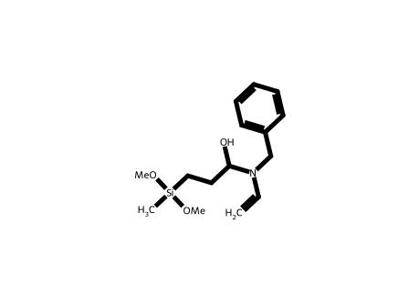 C=CN(Cc1ccccc1)C(O)CC[Si](C)(OC)OC